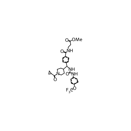 COC(=O)CCNC(=O)c1ccc(C(NC(=O)Nc2ccc(OC(F)(F)F)cc2)C2CCN(C(=O)C3CC3)CC2)cc1